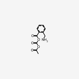 CC(=O)OC(=O)OC(=O)c1ccccc1CN